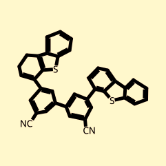 N#Cc1cc(C2=CCCc3c2sc2ccccc32)cc(-c2cc(C#N)cc(-c3cccc4c3sc3ccccc34)c2)c1